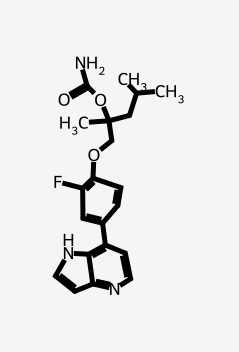 CC(C)CC(C)(COc1ccc(-c2ccnc3cc[nH]c23)cc1F)OC(N)=O